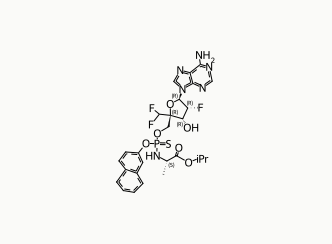 CC(C)OC(=O)[C@H](C)NP(=S)(OC[C@@]1(C(F)F)O[C@@H](n2cnc3c(N)ncnc32)[C@H](F)[C@@H]1O)Oc1ccc2ccccc2c1